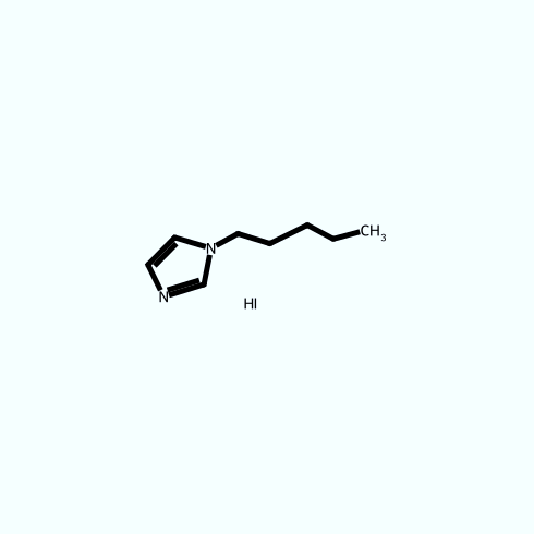 CCCCCn1ccnc1.I